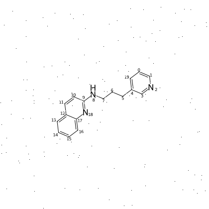 c1cncc(CCCNc2ccc3ccccc3n2)c1